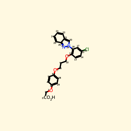 O=C(O)COc1ccc(OCCCOc2ccc(Cl)cc2-n2cc3ccccc3n2)cc1